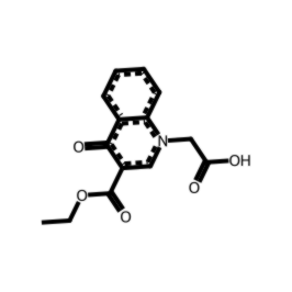 CCOC(=O)c1cn(CC(=O)O)c2ccccc2c1=O